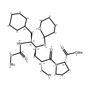 COC(=O)[C@@H]1CCCN1C(=O)[C@H](CC(C)C)C[C@H](OC1CCCCO1)[C@H](CC1CCCCC1)NC(=O)OC(C)(C)C